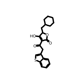 O=C(Cc1csc2ccccc12)C1=C(O)C(CC2CCCCC2)OC1=O